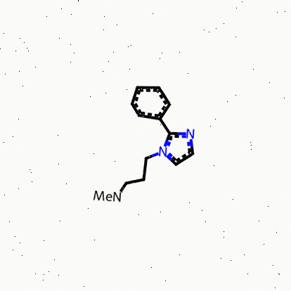 CNCCCn1ccnc1-c1ccccc1